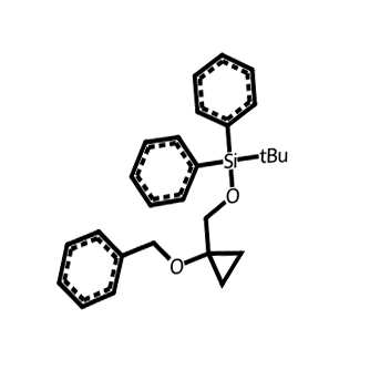 CC(C)(C)[Si](OCC1(OCc2ccccc2)CC1)(c1ccccc1)c1ccccc1